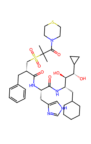 CC(C)(C(=O)N1CCSCC1)S(=O)(=O)C[C@@H](Cc1ccccc1)C(=O)N[C@@H](Cc1c[nH]cn1)C(=O)N[C@@H](CC1CCCCC1)[C@@H](O)[C@@H](O)C1CC1